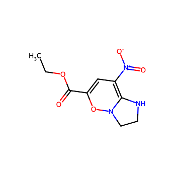 CCOC(=O)C1=CC([N+](=O)[O-])=C2NCCN2O1